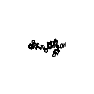 CN(Cc1nc2ccccc2c(=O)n1C)C(=O)c1ccc(C[C@@H]2CC[C@H]([C@H](O)c3ccc(Cl)nc3)N2)cc1